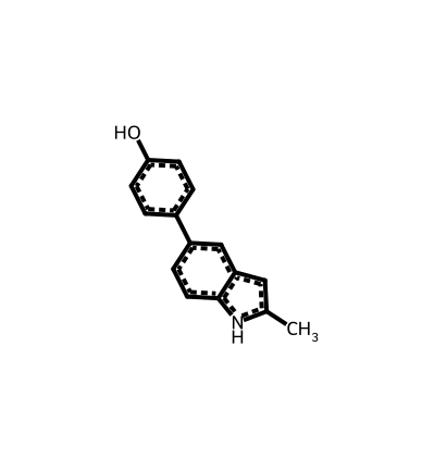 Cc1cc2cc(-c3ccc(O)cc3)ccc2[nH]1